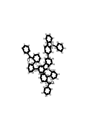 O=C(c1ccccc1)c1ccccc1-c1ccccc1-c1ccc2c(c1)c1cc(-c3ccc4c5ccccc5n(-c5ccccc5)c4c3)ccc1n2-c1ccccc1-c1ccccc1C(=O)c1ccccc1